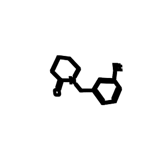 CCc1cccc(CN2CCCCC2=O)c1